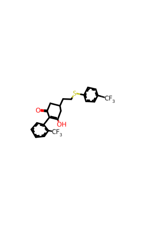 O=C1CC(CCSc2ccc(C(F)(F)F)cc2)CC(O)=C1c1ccccc1C(F)(F)F